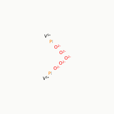 [O-2].[O-2].[O-2].[O-2].[O-2].[P].[P].[V+5].[V+5]